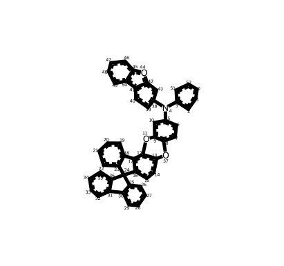 c1ccc(N(c2ccc3c(c2)Oc2c(ccc4c2-c2ccccc2C42c4ccccc4-c4ccccc42)O3)c2ccc3c(c2)oc2ccccc23)cc1